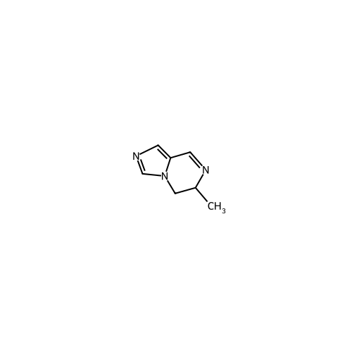 CC1Cn2cncc2C=N1